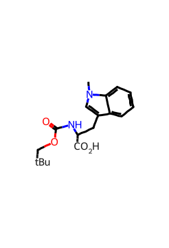 Cn1cc(CC(NC(=O)OCC(C)(C)C)C(=O)O)c2ccccc21